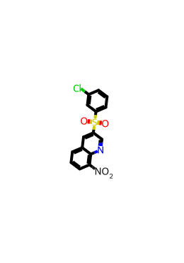 O=[N+]([O-])c1cccc2cc(S(=O)(=O)c3cccc(Cl)c3)cnc12